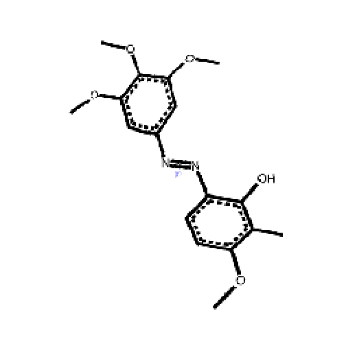 COc1ccc(/N=N/c2cc(OC)c(OC)c(OC)c2)c(O)c1C